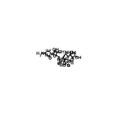 CC(=O)N[C@@H]1C=C/C(=C(\OP(=O)(O)OC[C@H]2O[C@@H](n3ccc(N)nc3=O)C(O)[C@H]2O)P(=O)(O)O)OC1[C@H](O)[C@H](O)CO